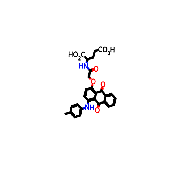 Cc1ccc(Nc2ccc(OCC(=O)NC(CCC(=O)O)C(=O)O)c3c2C(=O)c2ccccc2C3=O)cc1